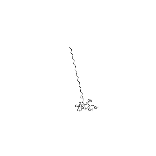 CCCCCCCCCCCCCCCCCCOC[C@@H](OP(=O)(O)O)[C@@H](O)[C@H](O)[C@H](O)CO